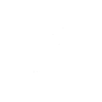 O=C(O)OCCC1CCC1